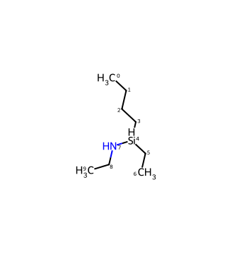 CCCC[SiH](CC)NCC